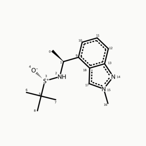 C[C@H](N[S@@+]([O-])C(C)(C)C)c1cccc2nn(C)cc12